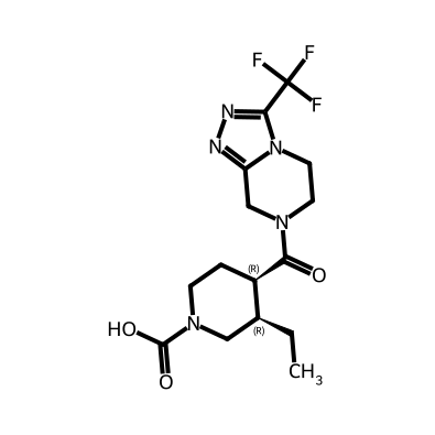 CC[C@H]1CN(C(=O)O)CC[C@H]1C(=O)N1CCn2c(nnc2C(F)(F)F)C1